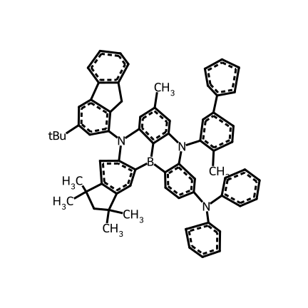 Cc1cc2c3c(c1)N(c1cc(C(C)(C)C)cc4c1Cc1ccccc1-4)c1cc4c(cc1B3c1ccc(N(c3ccccc3)c3ccccc3)cc1N2c1cc(-c2ccccc2)ccc1C)C(C)(C)CC4(C)C